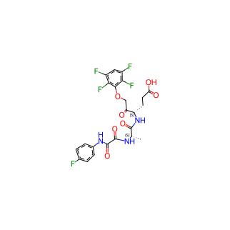 C[C@H](NC(=O)C(=O)Nc1ccc(F)cc1)C(=O)N[C@@H](CCC(=O)O)C(=O)COc1c(F)c(F)cc(F)c1F